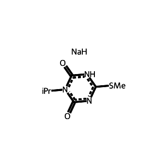 CSc1nc(=O)n(C(C)C)c(=O)[nH]1.[NaH]